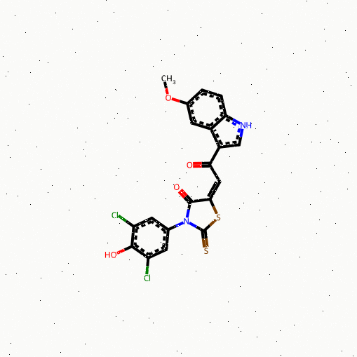 COc1ccc2[nH]cc(C(=O)C=C3SC(=S)N(c4cc(Cl)c(O)c(Cl)c4)C3=O)c2c1